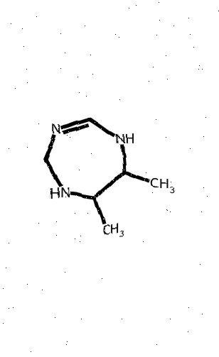 CC1NC=NCNC1C